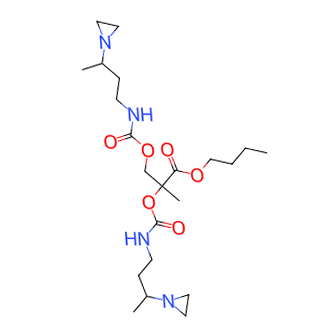 CCCCOC(=O)C(C)(COC(=O)NCCC(C)N1CC1)OC(=O)NCCC(C)N1CC1